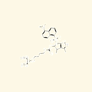 Cc1noc2c1C(C)C(OC(=O)OCCCCON(O)O)N2S(=O)(=O)c1cccc2c(N(C)C)cccc12